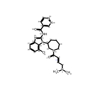 CN(C)C/C=C/C(=O)N1CCCCC(n2c(NC(=O)c3ccnnc3)nc3cccc(Cl)c32)C1